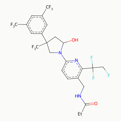 CCC(=O)NCc1ccc(N2CC(c3cc(C(F)(F)F)cc(C(F)(F)F)c3)(C(F)(F)F)CC2O)nc1C(F)(F)CF